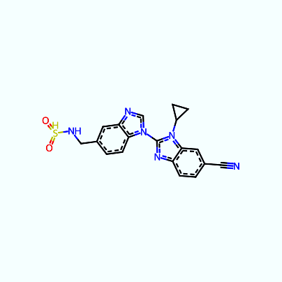 N#Cc1ccc2nc(-n3cnc4cc(CN[SH](=O)=O)ccc43)n(C3CC3)c2c1